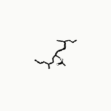 CCCC(C)CCC(CCC(C)CCC)OC(C)=O